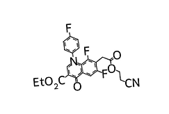 CCOC(=O)c1cn(-c2ccc(F)cc2)c2c(F)c(CC(=O)OCCC#N)c(F)cc2c1=O